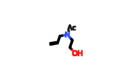 C=CCN(CCO)C(C)=O